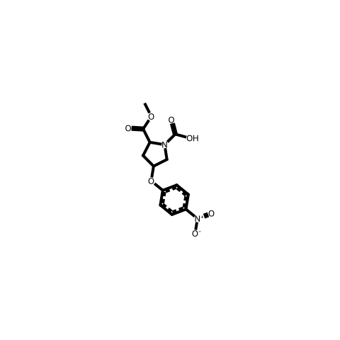 COC(=O)C1CC(Oc2ccc([N+](=O)[O-])cc2)CN1C(=O)O